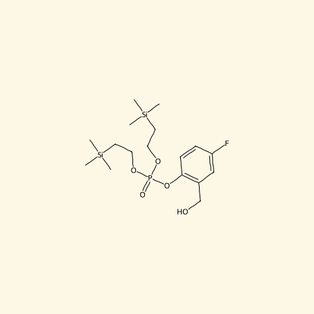 C[Si](C)(C)CCOP(=O)(OCC[Si](C)(C)C)Oc1ccc(F)cc1CO